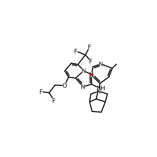 Cc1cc(N2CC3CCC(C2)C3Nc2nc3c(OCC(F)F)ccc(C(F)(F)F)n3n2)ncn1